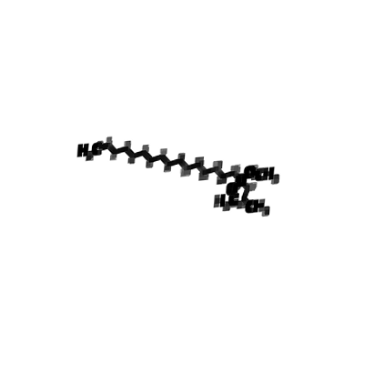 C=CCCCCCCCCCCCCCC[Si](CCC)(OC)OC